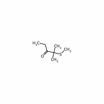 CCC(=O)C(C)(C)SC